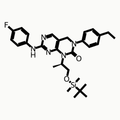 CCc1ccc(N2Cc3cnc(Nc4ccc(F)cc4)nc3N([C@H](C)CO[Si](C)(C)C(C)(C)C)C2=O)cc1